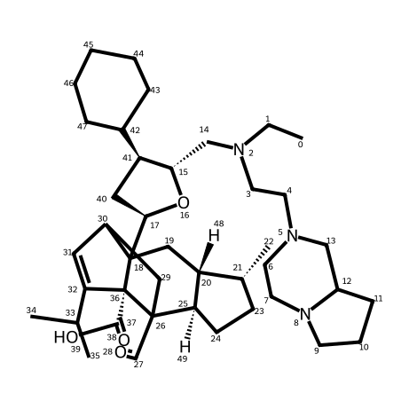 CCN(CCN1CCN2CCCC2C1)C[C@@H]1O[C@@H](C23C[C@@H]4[C@H](C)CC[C@H]4C4(C=O)CC2C=C(C(C)C)[C@]43C(=O)O)C[C@H]1C1CCCCC1